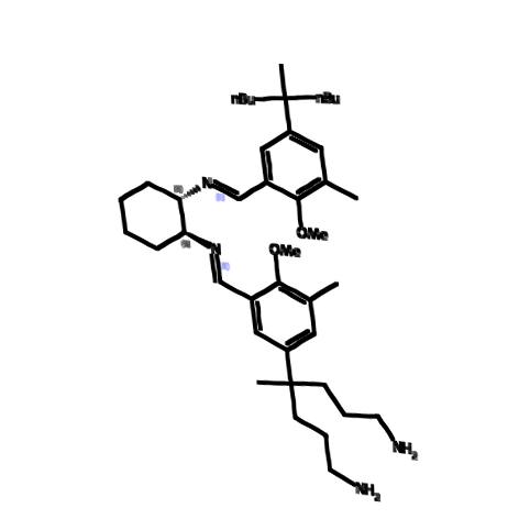 CCCCC(C)(CCCC)c1cc(C)c(OC)c(/C=N/[C@H]2CCCC[C@@H]2/N=C/c2cc(C(C)(CCCN)CCCN)cc(C)c2OC)c1